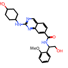 COc1ccccc1C(CO)NC(=O)c1ccc2cnc(NC3CCC(O)CC3)nc2c1